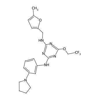 Cc1ccc(CNc2nc(Nc3cccc(N4CCCC4)c3)nc(OCC(F)(F)F)n2)o1